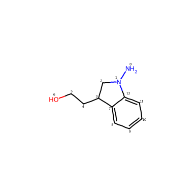 NN1CC(CCO)c2ccccc21